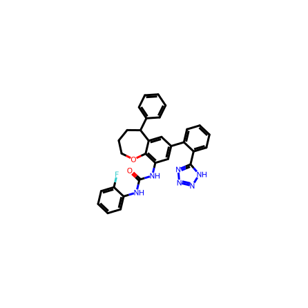 O=C(Nc1ccccc1F)Nc1cc(-c2ccccc2-c2nnn[nH]2)cc2c1OCCCC2c1ccccc1